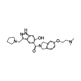 CN(C)CCOc1ccc2c(c1)CN(C(=O)c1cc3c(CN4CCCC4)n[nH]c3cc1O)C2